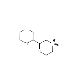 O=S1(=O)CCNC(C2COCC[N]2)C1